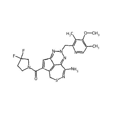 COc1c(C)cnc(Cn2nc3cc(C(=O)N4CCC(F)(F)C4)c4c-3c(n2)C(N)=NSC4)c1C